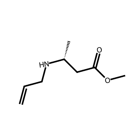 C=CCN[C@H](C)CC(=O)OC